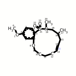 COc1ccc2c(c1)OCCCC/C=C\C[C@H](C)CN(C)S2(=O)=O